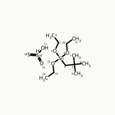 CCO[Si](CC(C)(C)C)(OCC)OCC.O=[SH](O)=S